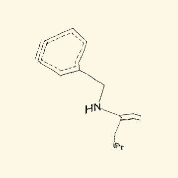 C=C(NCc1cc#ccc1)C(C)C